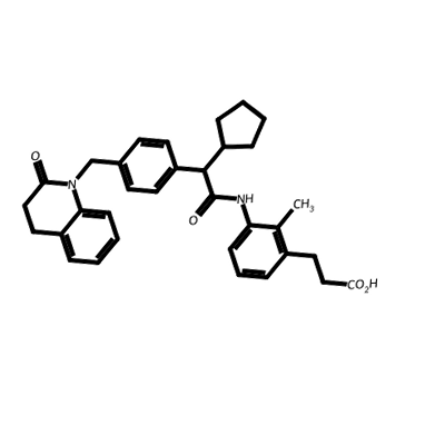 Cc1c(CCC(=O)O)cccc1NC(=O)C(c1ccc(CN2C(=O)CCc3ccccc32)cc1)C1CCCC1